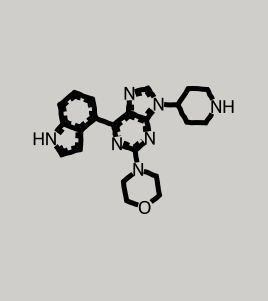 c1cc(-c2nc(N3CCOCC3)nc3c2ncn3C2CCNCC2)c2cc[nH]c2c1